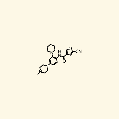 CN1CCN(c2ccc(NC(=O)c3coc(C#N)c3)c(N3CCCCC3)c2)CC1